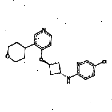 Clc1ccc(N[C@H]2C[C@H](Oc3ccncc3C3CCOCC3)C2)nc1